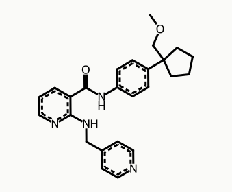 COCC1(c2ccc(NC(=O)c3cccnc3NCc3ccncc3)cc2)CCCC1